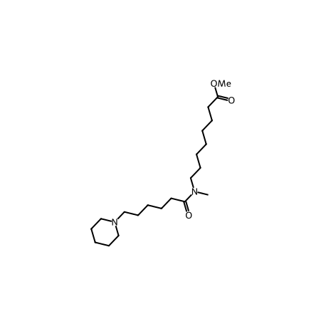 COC(=O)CCCCCCCN(C)C(=O)CCCCCN1CCCCC1